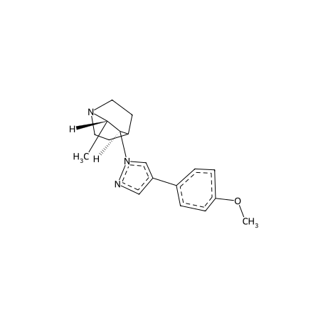 COc1ccc(-c2cnn([C@@H]3C4CCN(CC4)[C@H]3C)c2)cc1